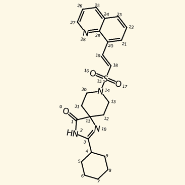 O=C1NC(C2CCCCC2)=NC12CCN(S(=O)(=O)/C=C/c1cccc3cccnc13)CC2